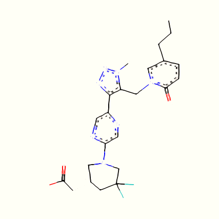 CCCc1ccc(=O)n(Cc2c(-c3cnc(N4C[C@@H](CC(=O)O)CC(F)(F)C4)cn3)nnn2C)c1